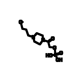 [O]CCCN1CCN(C(=O)COP(=O)(O)O)CC1